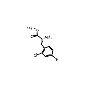 COC(=O)[C@H](N)Cc1ccc(F)cc1Cl